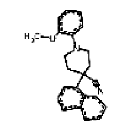 COc1ccccc1N1CCC(C#N)(c2cccc3ccccc23)CC1